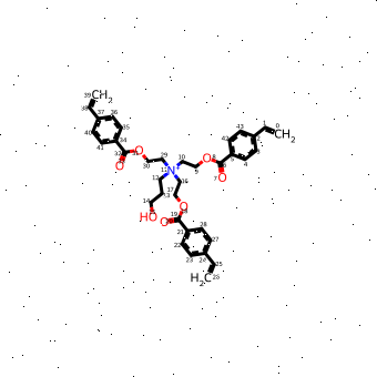 C=Cc1ccc(C(=O)OCC[N+](CCCO)(CCOC(=O)c2ccc(C=C)cc2)CCOC(=O)c2ccc(C=C)cc2)cc1